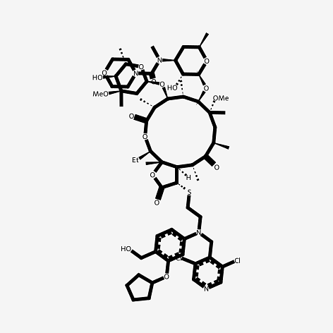 CC[C@H]1OC(=O)[C@H](C)[C@@H](O[C@H]2C[C@@](C)(OC)[C@@H](O)[C@H](C)O2)[C@H](C)[C@@H](O[C@@H]2O[C@H](C)C[C@H](N(C)C(=O)N3CCOCC3)[C@H]2O)[C@](C)(OC)C[C@@H](C)C(=O)[C@H](C)[C@H]2[C@H](SCCN(Cc3c(Cl)cncc3Cl)c3ccc(CO)c(OC4CCCC4)c3)C(=O)O[C@@]21C